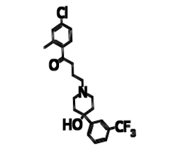 Cc1cc(Cl)ccc1C(=O)CCCN1CCC(O)(c2cccc(C(F)(F)F)c2)CC1